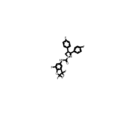 O=C(Nc1cc(F)c2c(c1)C(F)(F)C(F)(F)O2)N1CC(c2ccc(F)cc2)C(c2ccc(F)cc2)=N1